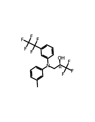 Cc1cccc(N(C[C@@H](O)C(F)(F)F)c2cccc(C(F)(F)C(F)(F)F)c2)c1